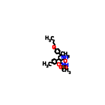 CCCCOc1ccc([C@]2(C)CC(c3ccc(C)cc3)=C(C(=O)NS(C)(=O)=O)C(=O)N2)cc1